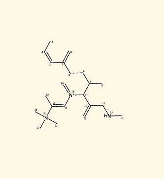 C=C(/C=C\C)CCC(C)C(C(=C)CNC)[N+](=C)/C=C(\C)[Si](C)(C)C